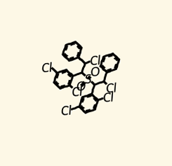 O=S(=O)(C(c1cc(Cl)ccc1Cl)C(Cl)c1ccccc1)C(c1cc(Cl)ccc1Cl)C(Cl)c1ccccc1